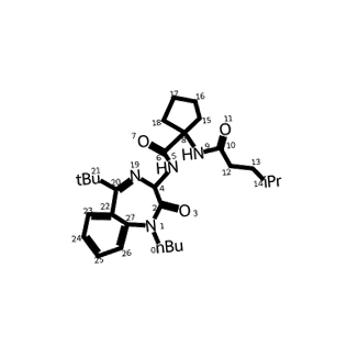 CCCCN1C(=O)C(NC(=O)C2(NC(=O)CCC(C)C)CCCC2)N=C(C(C)(C)C)c2ccccc21